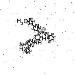 Cn1cc(-c2ccc(N(C(=O)NCc3ccccc3)C3CCC(Nc4ncc(C#N)c(-c5ccn[nH]5)n4)CC3)nn2)cn1